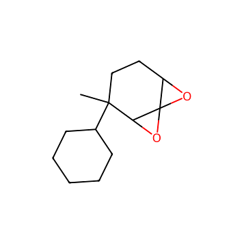 CC1(C2CCCCC2)CCC2OC23OC13